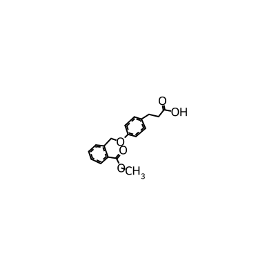 COC(=O)c1ccccc1COc1ccc(CCC(=O)O)cc1